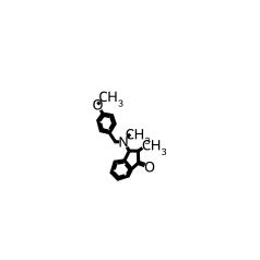 COc1ccc(CN(C)C2c3ccccc3C(=O)C2C)cc1